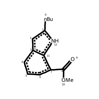 CCCCc1cc2cccc(C(=O)OC)c2[nH]1